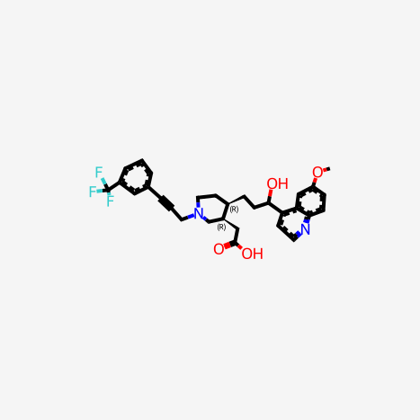 COc1ccc2nccc(C(O)CC[C@@H]3CCN(CC#Cc4cccc(C(F)(F)F)c4)C[C@@H]3CC(=O)O)c2c1